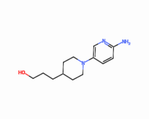 Nc1ccc(N2CCC(CCCO)CC2)cn1